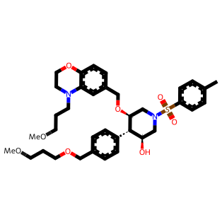 COCCCOCc1ccc([C@H]2[C@H](O)CN(S(=O)(=O)c3ccc(C)cc3)C[C@@H]2OCc2ccc3c(c2)N(CCCOC)CCO3)cc1